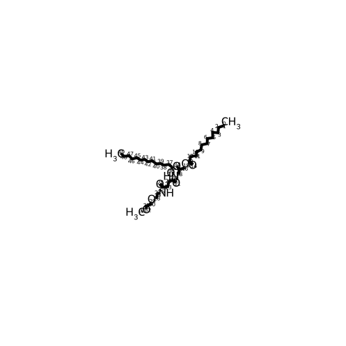 CCCCCCCCCCCCCC(=O)OCC(CNC(=O)CCC(=O)NCCOCCOC)OC(=O)CCCCCCCCCCCCC